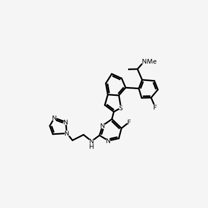 CNC(C)c1ccc(F)cc1-c1cccc2cc(-c3nc(NCCn4ccnn4)ncc3F)sc12